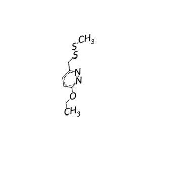 CCOc1ccc(CSSC)nn1